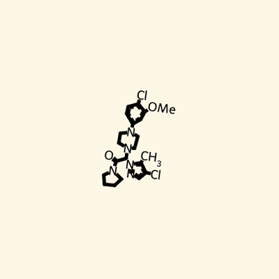 COc1cc(N2CCN(C(C(=O)N3CCCC3)n3ncc(Cl)c3C)CC2)ccc1Cl